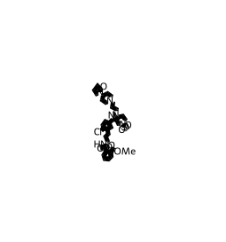 COC(=O)c1ccccc1S(=O)(=O)NCCCc1cc(-c2nn(CCCN3CCC(N4CCCC4=O)CC3)c3c2CN(S(C)(=O)=O)CC3)ccc1Cl